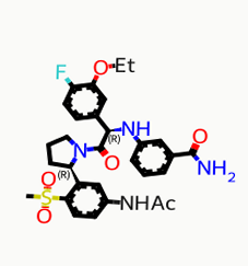 CCOc1cc([C@@H](Nc2cccc(C(N)=O)c2)C(=O)N2CCC[C@@H]2c2cc(NC(C)=O)ccc2S(C)(=O)=O)ccc1F